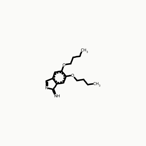 CCCCOc1cc2c(cc1OCCCC)C(=N)N=C2